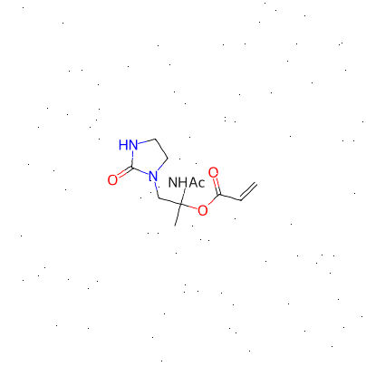 C=CC(=O)OC(C)(CN1CCNC1=O)NC(C)=O